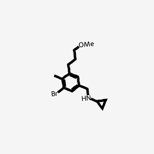 COCCCc1cc(CNC2CC2)cc(Br)c1C